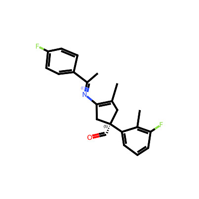 CC1=C(/N=C(\C)c2ccc(F)cc2)C[C@](C=O)(c2cccc(F)c2C)C1